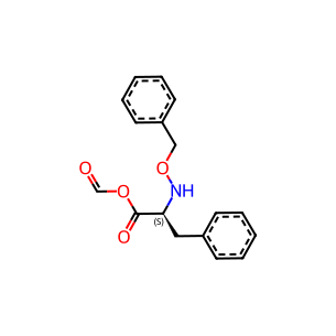 O=COC(=O)[C@H](Cc1ccccc1)NOCc1ccccc1